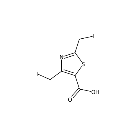 O=C(O)c1sc(CI)nc1CI